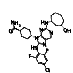 NC(=O)[C@H]1CC[C@H](n2c(Nc3c(F)cc(Cl)cc3F)nc3cnc(N[C@@H]4CCCC[C@H](O)C4)nc32)CC1